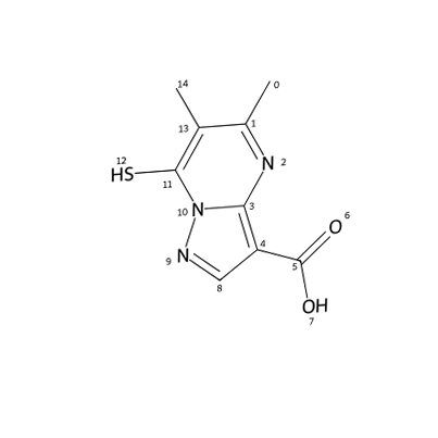 Cc1nc2c(C(=O)O)cnn2c(S)c1C